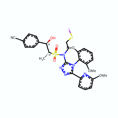 COc1cccc(-c2nnc(N(CCSI)S(=O)(=O)[C@H](C)[C@H](O)c3ccc(C#N)cc3)n2-c2c(OC)cccc2OC)n1